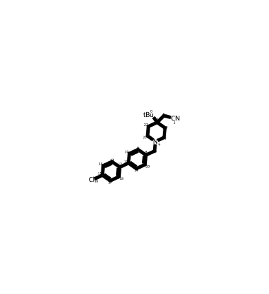 CC(C)(C)C1(CC#N)CCN(Cc2ccc(-c3ccc(Cl)cc3)cc2)CC1